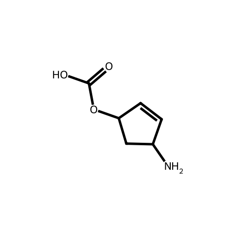 NC1C=CC(OC(=O)O)C1